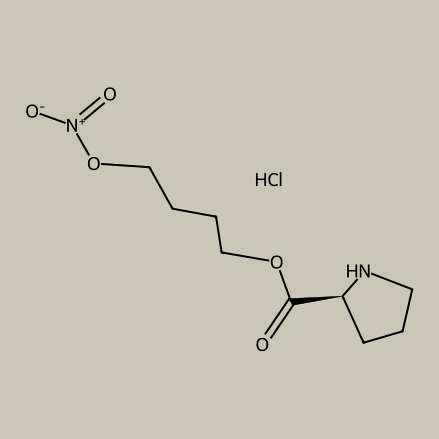 Cl.O=C(OCCCCO[N+](=O)[O-])[C@@H]1CCCN1